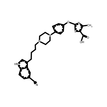 Cc1nc(Oc2ccc(N3CCN(CCCCc4c[nH]c5ccc(C#N)cc45)CC3)cc2)sc1C(=O)O